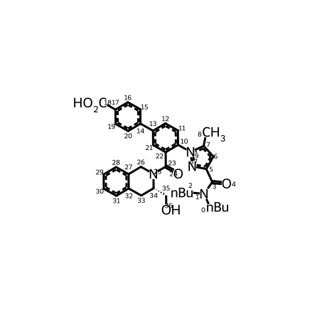 CCCCN(CCCC)C(=O)c1cc(C)n(-c2ccc(-c3ccc(C(=O)O)cc3)cc2C(=O)N2Cc3ccccc3C[C@H]2CO)n1